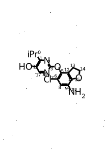 CC(C)c1nc(Oc2c(Cl)cc(N)c3c2CCO3)ncc1O